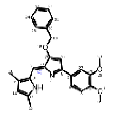 COc1ccc(C2=N/C(=C\c3[nH]c(C)cc3C)C(OCc3ccccc3)=C2)cc1OC